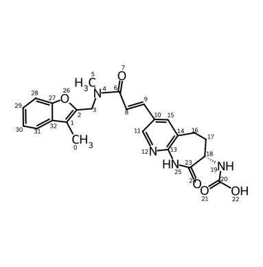 Cc1c(CN(C)C(=O)/C=C/c2cnc3c(c2)CC[C@H](NC(=O)O)C(=O)N3)oc2ccccc12